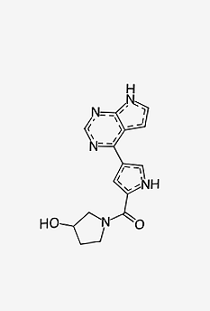 O=C(c1cc(-c2ncnc3[nH]ccc23)c[nH]1)N1CCC(O)C1